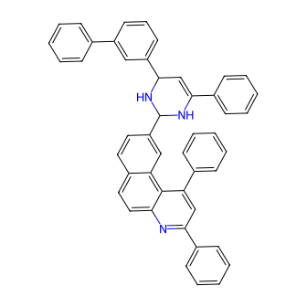 C1=C(c2ccccc2)NC(c2ccc3ccc4nc(-c5ccccc5)cc(-c5ccccc5)c4c3c2)NC1c1cccc(-c2ccccc2)c1